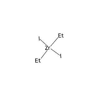 C[CH2][Zr]([I])([I])[CH2]C